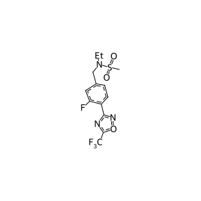 CCN(Cc1ccc(-c2noc(C(F)(F)F)n2)c(F)c1)S(C)(=O)=O